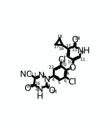 N#Cc1nn(-c2cc(Cl)c(Oc3c[nH]c(=O)c(C4CC4)c3)c(Cl)c2)c(=O)[nH]c1=O